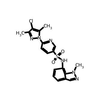 Cc1nn(-c2ccc(S(=O)(=O)Nc3cccc4cnn(C)c34)cn2)c(C)c1Cl